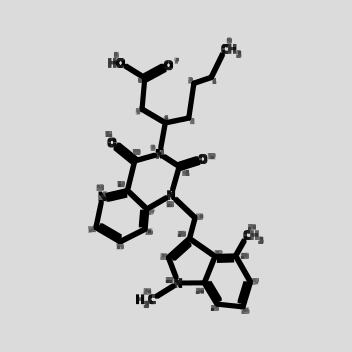 CCCCC(CC(=O)O)n1c(=O)c2ncccc2n(Cc2cn(C)c3cccc(C)c23)c1=O